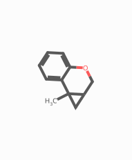 CC12CC1COc1ccccc12